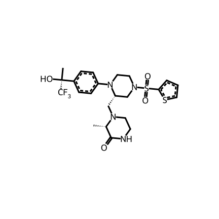 C[C@H]1C(=O)NCCN1C[C@H]1CN(S(=O)(=O)c2cccs2)CCN1c1ccc([C@](C)(O)C(F)(F)F)cc1